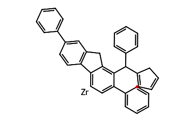 C1=CCC(C(c2ccccc2)c2c(-c3ccccc3)ccc3c2Cc2cc(-c4ccccc4)ccc2-3)=C1.[Zr]